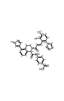 Cn1cc(-c2cccc3c2CCN(C(=O)/C=C/c2c(-n4cnnn4)ccc(Cl)c2F)C3C(=O)Nc2ccc(C(=O)O)cc2)cn1